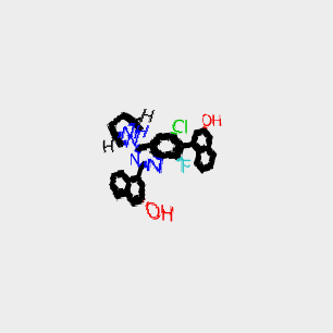 Oc1cc(-c2nc(N3C[C@H]4CC[C@@H](C3)N4)c3cc(Cl)c(-c4cc(O)cc5ccccc45)c(F)c3n2)c2ccccc2c1